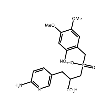 COc1cc(CP(=O)(O)CC(Cc2ccc(N)nc2)C(=O)O)c([N+](=O)[O-])cc1OC